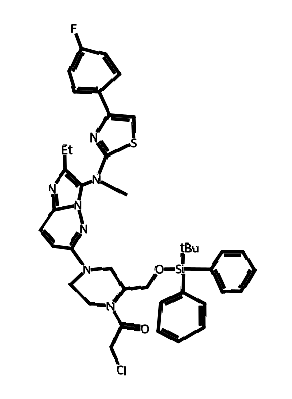 CCc1nc2ccc(N3CCN(C(=O)CCl)C(CO[Si](c4ccccc4)(c4ccccc4)C(C)(C)C)C3)nn2c1N(C)c1nc(-c2ccc(F)cc2)cs1